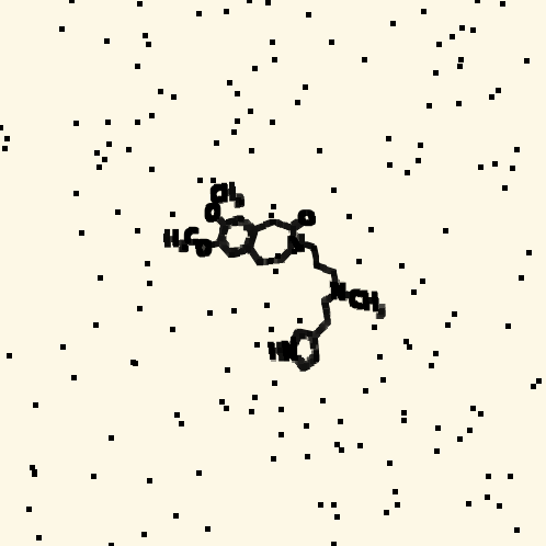 COc1cc2c(cc1OC)CC(=O)N(CCCN(C)CCc1cc[nH]c1)CC2